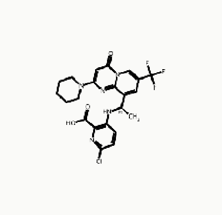 C[C@@H](Nc1ccc(Cl)nc1C(=O)O)c1cc(C(F)(F)F)cn2c(=O)cc(N3CCCCC3)nc12